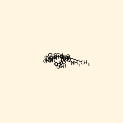 CCCCCCCCCCS(=O)(=O)N[C@@H](CCCCN)C(=O)N(C)[C@@H]1C(=O)N[C@@H](C)C(=O)N[C@H](C(=O)N[C@@H](C)C(=O)N2CCC[C@H]2C(N)=O)Cc2ccc(O)c(c2)-c2cc1ccc2O